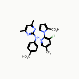 Cc1cc(C)nc(Nc2ccc(C(=O)O)cc2)n1.O=C(O)c1cccn1-c1ncc(C(F)(F)F)cc1Cl